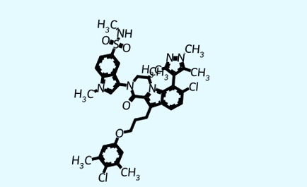 CNS(=O)(=O)c1ccc2c(c1)c(N1CC(C)n3c(c(CCCOc4cc(C)c(Cl)c(C)c4)c4ccc(Cl)c(-c5c(C)nn(C)c5C)c43)C1=O)cn2C